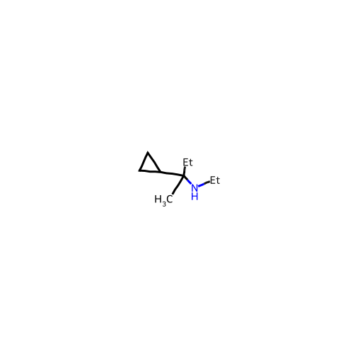 CCNC(C)(CC)C1CC1